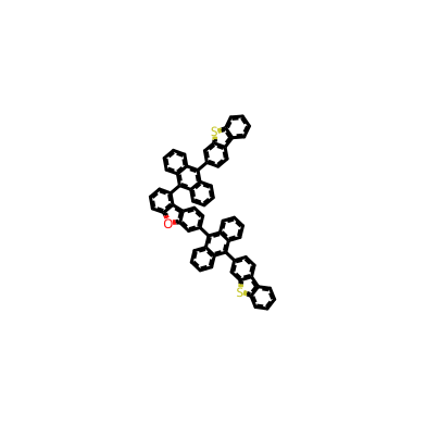 c1cc(-c2c3ccccc3c(-c3ccc4c(c3)sc3ccccc34)c3ccccc23)c2c(c1)oc1cc(-c3c4ccccc4c(-c4ccc5c(c4)sc4ccccc45)c4ccccc34)ccc12